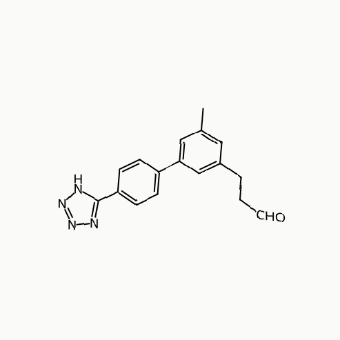 Cc1cc(CCC=O)cc(-c2ccc(-c3nnn[nH]3)cc2)c1